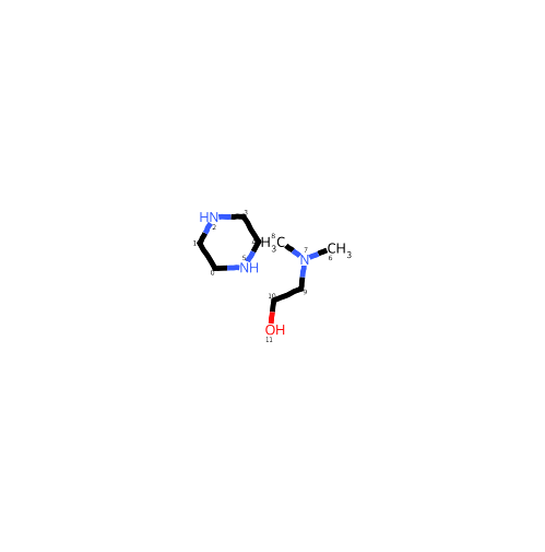 C1CNCCN1.CN(C)CCO